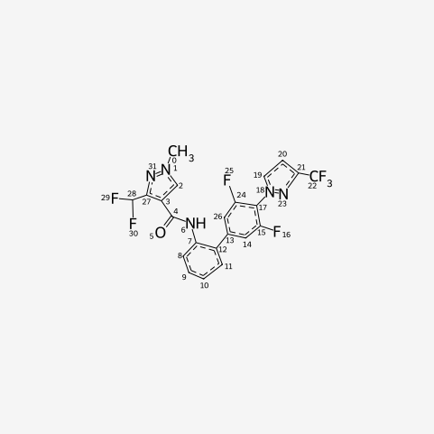 Cn1cc(C(=O)Nc2ccccc2-c2cc(F)c(-n3ccc(C(F)(F)F)n3)c(F)c2)c(C(F)F)n1